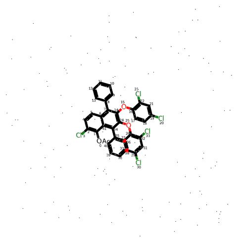 CC(=O)Oc1c(Cl)ccc2c(-c3ccccc3)c(Oc3ccc(Cl)cc3Cl)c(Oc3ccc(Cl)cc3Cl)c(-c3ccccc3)c12